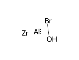 OBr.[Al].[Zr]